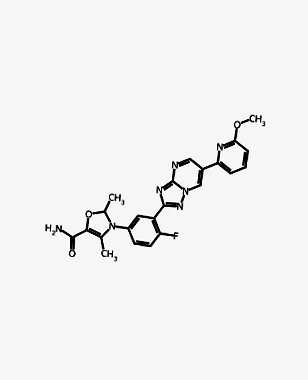 COc1cccc(-c2cnc3nc(-c4cc(N5C(C)=C(C(N)=O)OC5C)ccc4F)nn3c2)n1